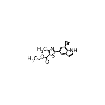 CCOC(=O)c1sc(-c2cc(Br)c3[nH]ccc3c2)nc1C